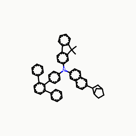 CC1(C)c2ccccc2-c2ccc(N(c3ccc(-c4c(-c5ccccc5)cccc4-c4ccccc4)cc3)c3ccc4cc(C5CC6CCC5C6)ccc4c3)cc21